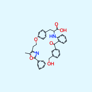 Cc1oc(-c2ccccc2)nc1CCOc1ccc(CC(Nc2ccccc2C(=O)c2cccc(CO)c2)C(=O)O)cc1